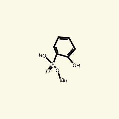 CCC(C)OP(=O)(O)c1ccccc1O